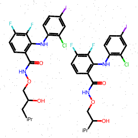 CC(C)C(O)CONC(=O)c1ccc(F)c(F)c1Nc1ccc(I)cc1Cl.CC(C)CC(O)CONC(=O)c1ccc(F)c(F)c1Nc1ccc(I)cc1Cl